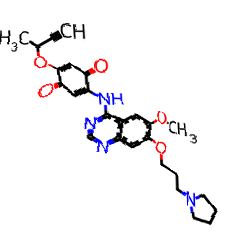 C#CC(C)OC1=CC(=O)C(Nc2ncnc3cc(OCCCN4CCCC4)c(OC)cc23)=CC1=O